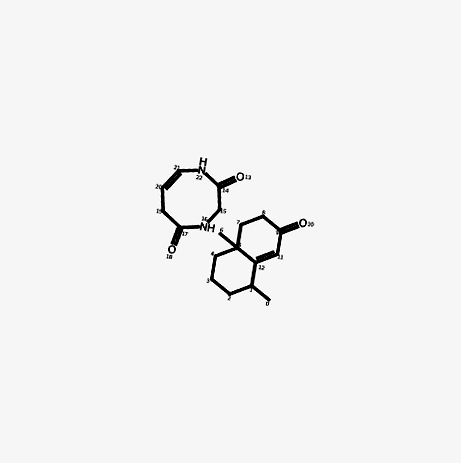 CC1CCCC2(C)CCC(=O)C=C12.O=C1CNC(=O)CC=CN1